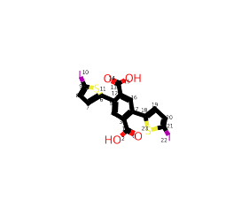 O=C(O)c1cc(-c2ccc(I)s2)c(C(=O)O)cc1-c1ccc(I)s1